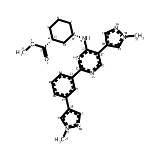 COC(=O)[C@@H]1CCC[C@H](Nc2nc(-c3cccc(-c4cnn(C)c4)c3)ncc2-c2cnn(C)c2)C1